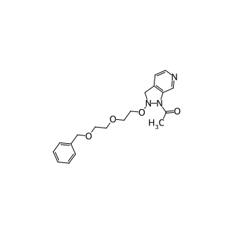 CC(=O)N1c2cnccc2CN1OCCOCCOCc1ccccc1